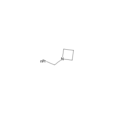 CCCCN1CCC1